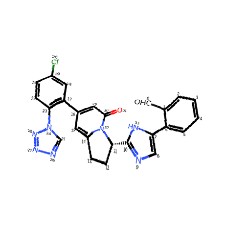 O=Cc1ccccc1-c1cnc([C@@H]2CCc3cc(-c4cc(Cl)ccc4-n4cnnn4)cc(=O)n32)[nH]1